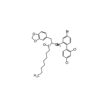 CCCCCCCC[S+]([O-])C(C)Cc1ccc2c(c1)OCO2.Clc1ccc(-c2ccc(Br)cc2Br)c(Cl)c1